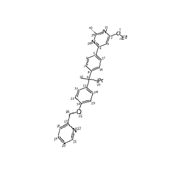 CCOc1cc(-c2ccc(C(C)(c3ccc(OCc4ccccn4)cc3)C(C)C)cc2)nc(C)n1